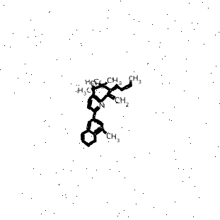 C=C1/C(=C\C=C/C)C(C)(C)C(C)(C)c2ccc(-c3cc(C)c4c(c3)C=CCC4)nc21